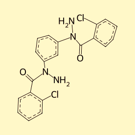 NN(C(=O)c1ccccc1Cl)c1cccc(N(N)C(=O)c2ccccc2Cl)c1